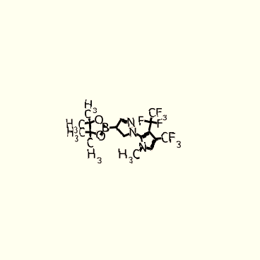 Cn1cc(C(F)(F)F)c(C(F)(F)C(F)(F)F)c1N1CC(B2OC(C)(C)C(C)(C)O2)C=N1